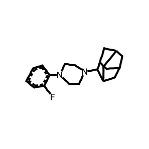 Fc1ccccc1N1CCN(C2C3CC4CC(C3)CC2C4)CC1